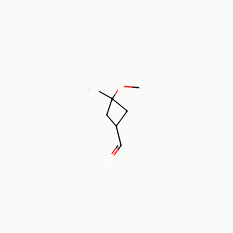 COC1(C)CC(C=O)C1